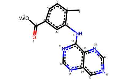 COC(=O)c1ccc(C)c(Nc2ncnc3cncnc23)c1